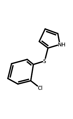 Clc1ccccc1Sc1ccc[nH]1